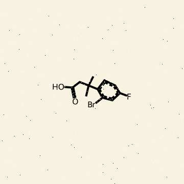 CC(C)(CC(=O)O)c1ccc(F)cc1Br